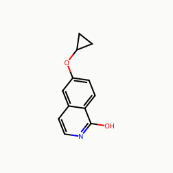 Oc1nccc2cc(OC3CC3)ccc12